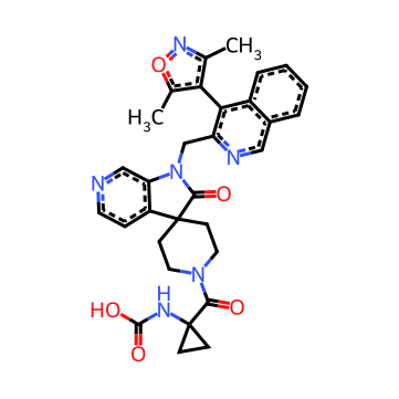 Cc1noc(C)c1-c1c(CN2C(=O)C3(CCN(C(=O)C4(NC(=O)O)CC4)CC3)c3ccncc32)ncc2ccccc12